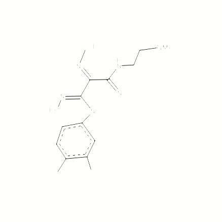 CNCCNC(=N)C(=N\O)/C(=N/O)Nc1ccc(F)c(Br)c1